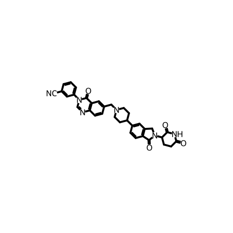 N#Cc1cccc(-n2cnc3ccc(CN4CCC(c5ccc6c(c5)CN(C5CCC(=O)NC5=O)C6=O)CC4)cc3c2=O)c1